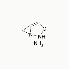 C1=C2CN2NO1.N